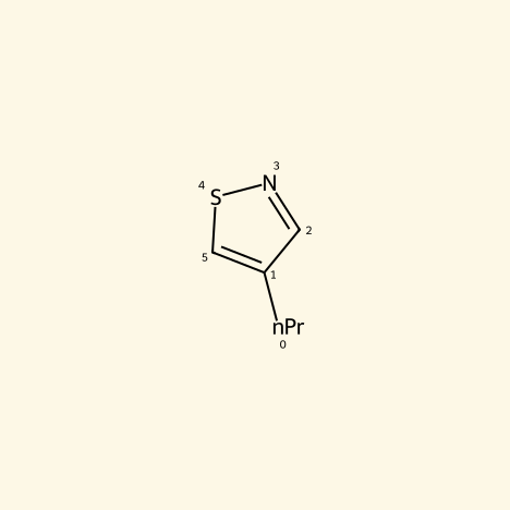 [CH2]CCc1cnsc1